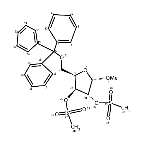 CO[C@H]1O[C@H](COC(c2ccccc2)(c2ccccc2)c2ccccc2)[C@H](OS(C)(=O)=O)[C@H]1OS(C)(=O)=O